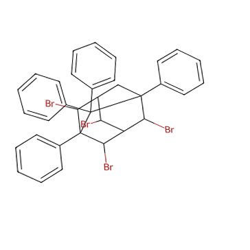 BrC1C2CC3(c4ccccc4)C(Br)C1C(Br)C(c1ccccc1)(C2Br)C3(c1ccccc1)c1ccccc1